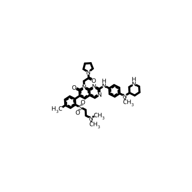 Cc1ccc(-c2cc3cnc(Nc4ccc(N(C)C5CCCNC5)cc4)nc3n(CC(=O)N3CCCC3)c2=O)c(S(=O)(=O)CCN(C)C)c1